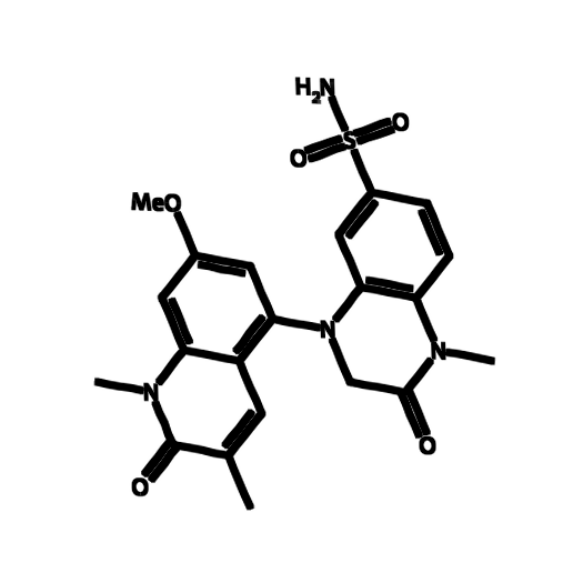 COc1cc(N2CC(=O)N(C)c3ccc(S(N)(=O)=O)cc32)c2cc(C)c(=O)n(C)c2c1